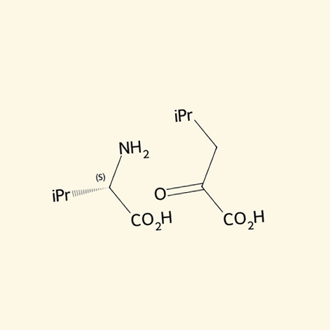 CC(C)CC(=O)C(=O)O.CC(C)[C@H](N)C(=O)O